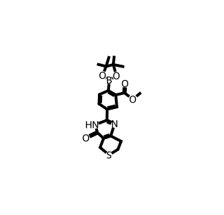 COC(=O)c1cc(-c2nc3c(c(=O)[nH]2)CSCC3)ccc1B1OC(C)(C)C(C)(C)O1